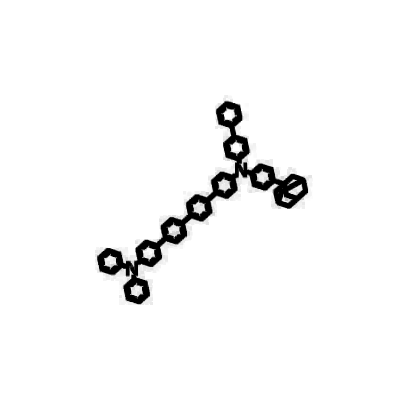 c1ccc(-c2ccc(N(c3ccc(-c4ccc(-c5ccc(-c6ccc(N(c7ccccc7)c7ccccc7)cc6)cc5)cc4)cc3)c3ccc(C45CC6CC(CC(C6)C4)C5)cc3)cc2)cc1